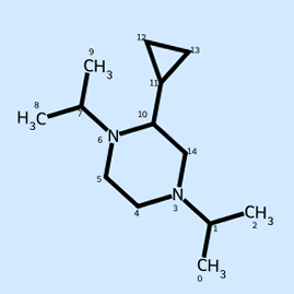 CC(C)N1CCN(C(C)C)C(C2CC2)C1